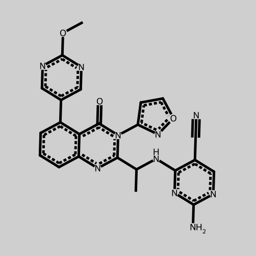 COc1ncc(-c2cccc3nc(C(C)Nc4nc(N)ncc4C#N)n(-c4ccon4)c(=O)c23)cn1